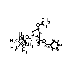 CC(=O)O[C@@H]1C[C@@H](CO[Si](C)(C)C(C)(C)C)N(C(=O)OCc2ccccc2)C1